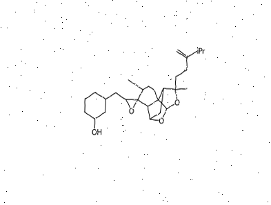 C=C(CCC1(C)OC2OC3CC1C21CCC(C)C2(OC2CC2CCCC(O)C2)C31)C(C)C